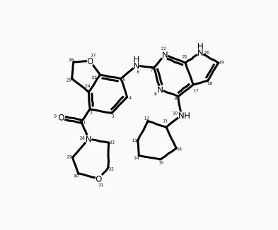 O=C(c1ccc(Nc2nc(NC3CCCCC3)c3cc[nH]c3n2)c2c1CCO2)N1CCOCC1